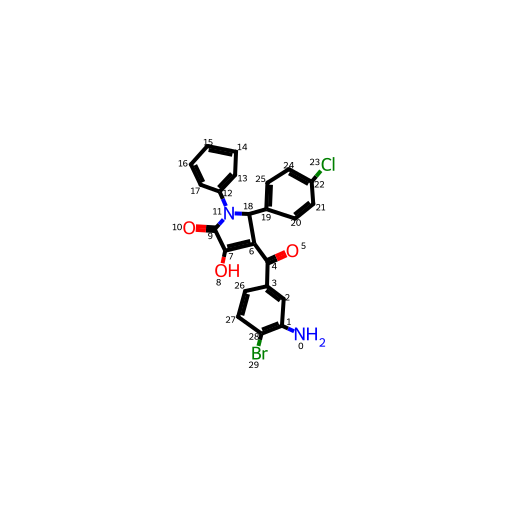 Nc1cc(C(=O)C2=C(O)C(=O)N(c3ccccc3)C2c2ccc(Cl)cc2)ccc1Br